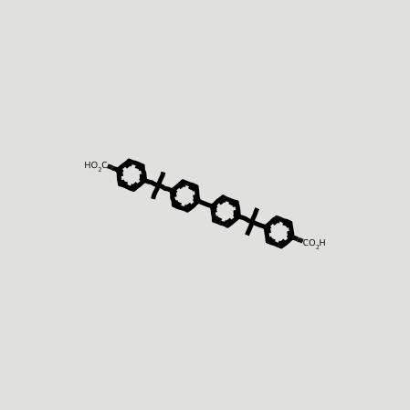 CC(C)(c1ccc(C(=O)O)cc1)c1ccc(-c2ccc(C(C)(C)c3ccc(C(=O)O)cc3)cc2)cc1